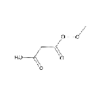 COOC(=O)CC(=O)O